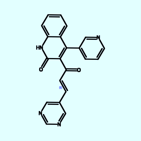 O=C(/C=C/c1cncnc1)c1c(-c2cccnc2)c2ccccc2[nH]c1=O